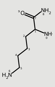 [NH]C(CCCCN)C(N)=O